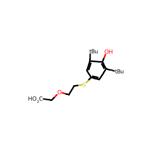 CC(C)(C)c1cc(SCCOCC(=O)O)cc(C(C)(C)C)c1O